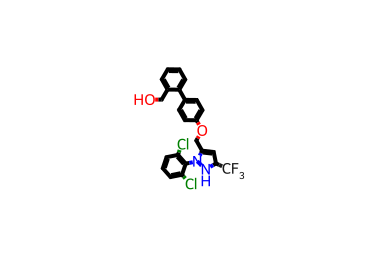 OCc1ccccc1-c1ccc(OCC2=CC(C(F)(F)F)NN2c2c(Cl)cccc2Cl)cc1